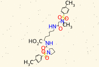 Cc1ccc(S(=O)(=O)N(C)CC(=O)NCCCC[C@H](NC(=O)[C@@H]2CCCN2S(=O)(=O)c2ccc(C)cc2)C(=O)O)cc1